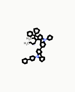 C=C/C=C\C1=C(C)C(c2ccccc2)(c2ccccc2)c2ccc3c(c21)c1cc(-c2ccc4c(c2)c2ccccc2n4-c2ccc(-c4ccccc4)cc2)ccc1n3-c1ccccc1